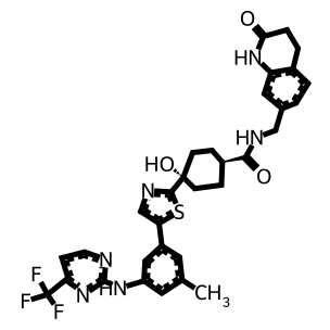 Cc1cc(Nc2nccc(C(F)(F)F)n2)cc(-c2cnc([C@]3(O)CC[C@H](C(=O)NCc4ccc5c(c4)NC(=O)CC5)CC3)s2)c1